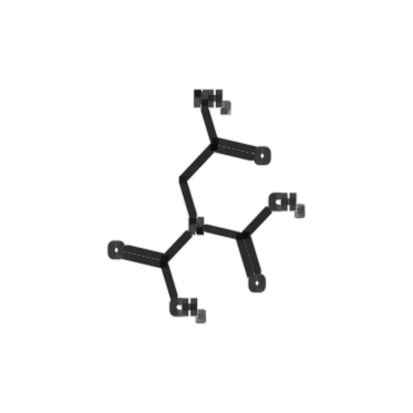 CC(=O)N(CC(N)=O)C(C)=O